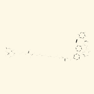 O=C(CCCC[C@@H]1SC[C@@H]2NC(=O)N[C@@H]21)NCCCOCCOCCCNC(=O)OCc1ccc(C2=NOCC(CN3C(=O)c4ccccc4C#Cc4ccccc43)C2)cc1